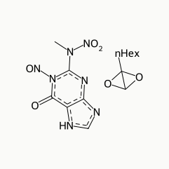 CCCCCCC12OC1O2.CN(c1nc2nc[nH]c2c(=O)n1N=O)[N+](=O)[O-]